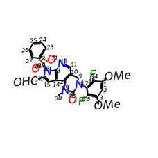 COc1cc(OC)c(F)c(N2Cc3cnc4c(cc(C=O)n4S(=O)(=O)c4ccccc4)c3N(C)C2=O)c1F